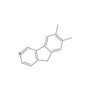 Cc1cc2c(cc1C)-c1cnccc1C2